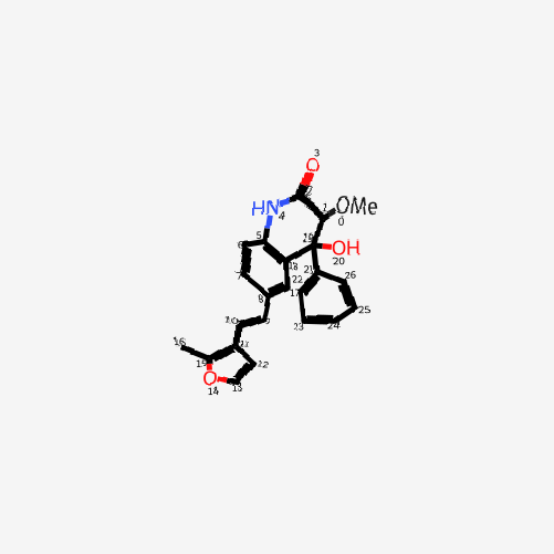 COC1C(=O)Nc2ccc(/C=C/c3ccoc3C)cc2C1(O)c1ccccc1